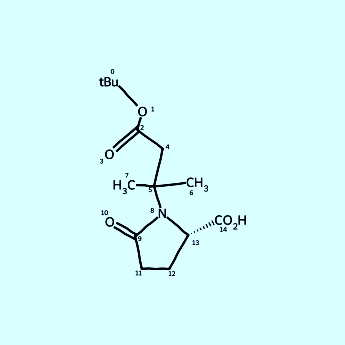 CC(C)(C)OC(=O)CC(C)(C)N1C(=O)CC[C@H]1C(=O)O